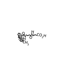 [13CH3]N1CCN(CC2CCCN2CC(=O)NCCCC(=O)NCCCC(=O)O)[13CH2][13CH2]1